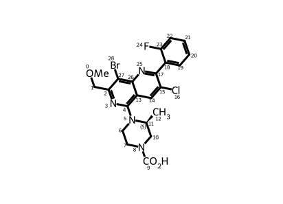 COCc1nc(N2CCN(C(=O)O)C[C@@H]2C)c2cc(Cl)c(-c3ccccc3F)nc2c1Br